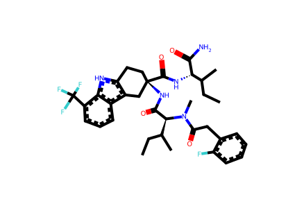 CCC(C)[C@H](NC(=O)[C@@]1(NC(=O)[C@H](C(C)CC)N(C)C(=O)Cc2ccccc2F)CCc2[nH]c3c(C(F)(F)F)cccc3c2C1)C(N)=O